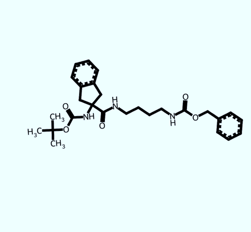 CC(C)(C)OC(=O)NC1(C(=O)NCCCCNC(=O)OCc2ccccc2)Cc2ccccc2C1